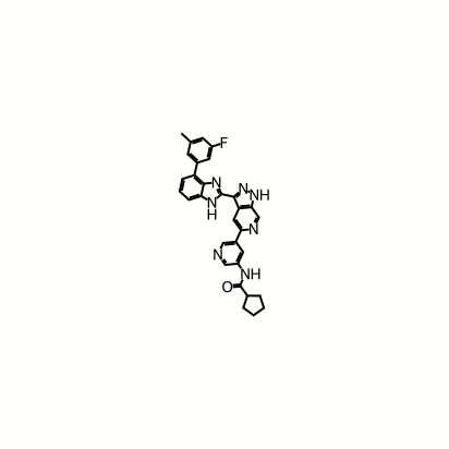 Cc1cc(F)cc(-c2cccc3[nH]c(-c4n[nH]c5cnc(-c6cncc(NC(=O)C7CCCC7)c6)cc45)nc23)c1